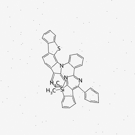 C[Si]1(C)c2ccccc2-c2c(-c3ccccc3)nc(-c3ccccc3-n3c4ccccc4c4ccc5c6ccccc6sc5c43)nc21